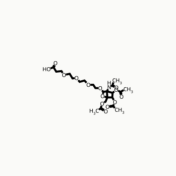 CC(=O)NC12C(OCCOCCOCCOCCC(=O)O)OC1(COC(C)=O)C(OC(C)=O)C2OC(C)=O